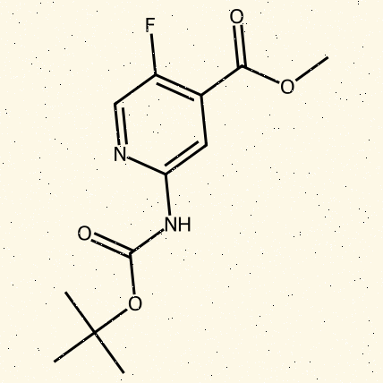 COC(=O)c1cc(NC(=O)OC(C)(C)C)ncc1F